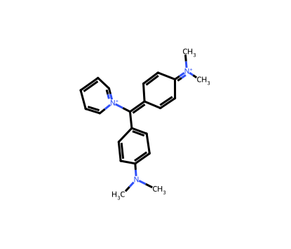 CN(C)c1ccc(C(=C2C=CC(=[N+](C)C)C=C2)[n+]2ccccc2)cc1